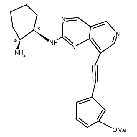 COc1cccc(C#Cc2cncc3cnc(N[C@@H]4CCCC[C@@H]4N)nc23)c1